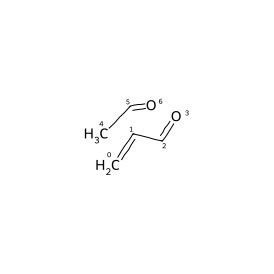 C=CC=O.CC=O